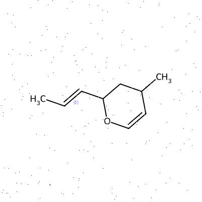 C/C=C/C1CC(C)C=CO1